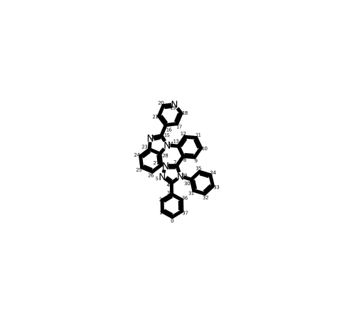 c1ccc(-c2nnc(-c3ccccc3-n3c(-c4ccncc4)nc4ccccc43)n2-c2ccccc2)cc1